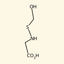 O=C(O)CNSCO